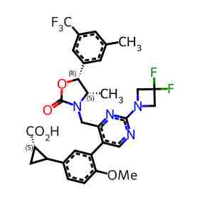 COc1ccc(C2C[C@@H]2C(=O)O)cc1-c1cnc(N2CC(F)(F)C2)nc1CN1C(=O)O[C@H](c2cc(C)cc(C(F)(F)F)c2)[C@@H]1C